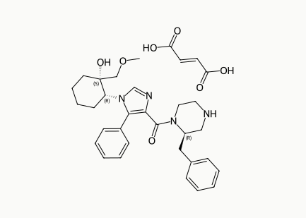 COC[C@]1(O)CCCC[C@H]1n1cnc(C(=O)N2CCNC[C@H]2Cc2ccccc2)c1-c1ccccc1.O=C(O)C=CC(=O)O